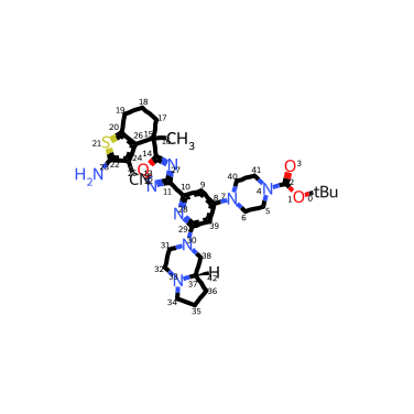 CC(C)(C)OC(=O)N1CCN(c2cc(-c3noc(C4(C)CCCc5sc(N)c(C#N)c54)n3)nc(N3CCN4CCC[C@H]4C3)c2)CC1